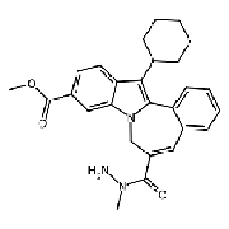 COC(=O)c1ccc2c(C3CCCCC3)c3n(c2c1)CC(C(=O)N(C)N)=Cc1ccccc1-3